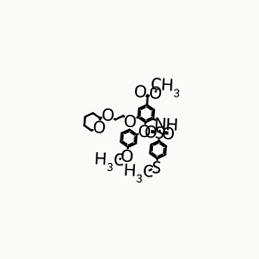 COC(=O)c1cc(NS(=O)(=O)c2ccc(SC)cc2)c(Oc2cccc(OC)c2)c(OCCOC2CCCCO2)c1